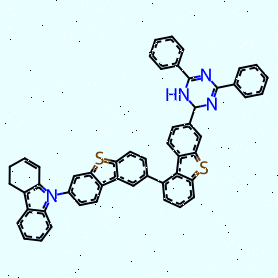 C1=Cc2c(c3ccccc3n2-c2ccc3c(c2)sc2ccc(-c4cccc5sc6cc(C7N=C(c8ccccc8)N=C(c8ccccc8)N7)ccc6c45)cc23)CC1